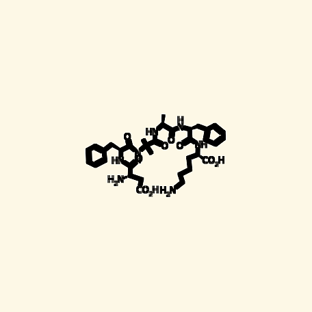 C[C@H](NC(=O)C(C)(C)NC(=O)[C@H](Cc1ccccc1)NC(=O)[C@@H](N)CC(=O)O)C(=O)N[C@@H](Cc1ccccc1)C(=O)N[C@@H](CCCCN)C(=O)O